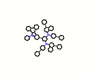 c1ccc(-c2ccc(N(c3cc(-c4ccc5c(c4)c4c6ccccc6c6ccccc6c4n5-c4ccccc4)cc(N(c4ccc(-c5ccccc5)cc4)c4ccc(-c5ccccc5)c5ccccc45)c3)c3ccc(-c4ccccc4)c4ccccc34)cc2)cc1